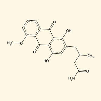 COc1cccc2c1C(=O)c1c(O)cc(CC(C)CC(N)=O)c(O)c1C2=O